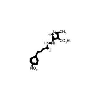 CCOC(=O)c1c(C)n[nH]c1NNC(=O)CCCc1ccc([N+](=O)[O-])cc1